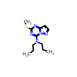 CCCN(CCC)c1nc(SC)nc2ccnn12